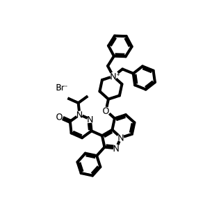 CC(C)n1nc(-c2c(-c3ccccc3)nn3cccc(OC4CC[N+](Cc5ccccc5)(Cc5ccccc5)CC4)c23)ccc1=O.[Br-]